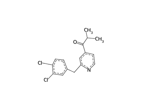 CC(C)C(=O)c1ccnc(Cc2ccc(Cl)c(Cl)c2)c1